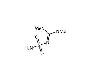 CNC(=NS(N)(=O)=O)NC